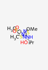 COc1nc2nc(S[C@@H](C)c3cccc(S(C)(=O)=O)c3)nc(N[C@@H](CO)CC(C)C)c2s1